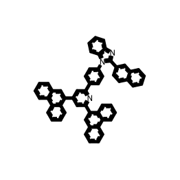 c1ccc2cc(-c3nc4ccccc4n3-c3ccc(-c4cc(-c5cc6ccccc6c6ccccc56)cc(-c5cc6ccccc6c6ccccc56)n4)cc3)ccc2c1